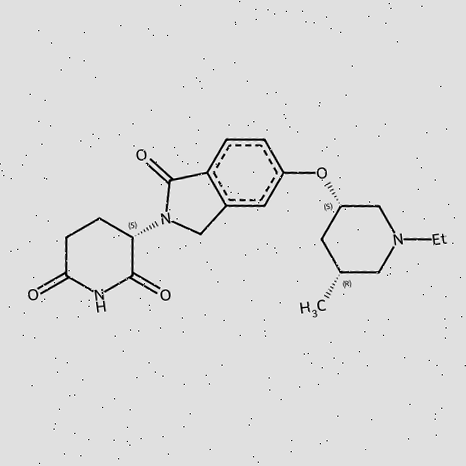 CCN1C[C@H](C)C[C@H](Oc2ccc3c(c2)CN([C@H]2CCC(=O)NC2=O)C3=O)C1